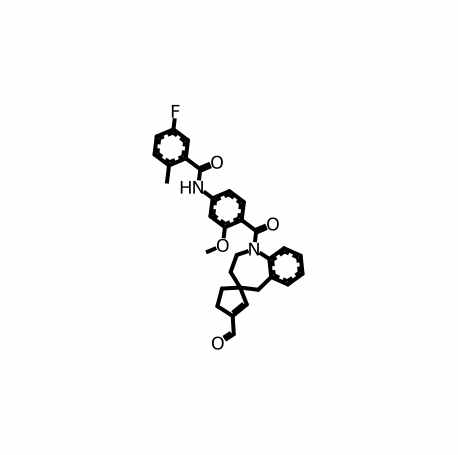 COc1cc(NC(=O)c2cc(F)ccc2C)ccc1C(=O)N1CCC2(C=C(C=O)CC2)Cc2ccccc21